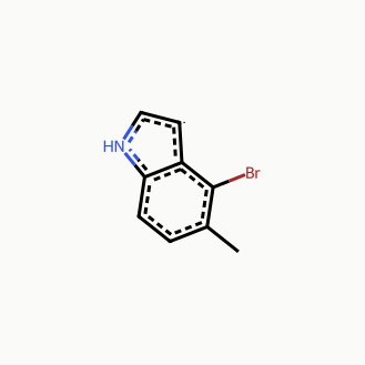 Cc1ccc2[nH]c[c]c2c1Br